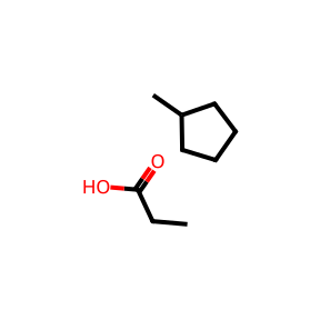 CC1CCCC1.CCC(=O)O